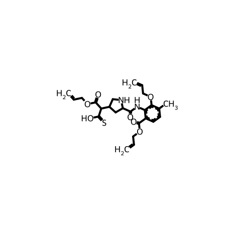 C=CCOC(=O)c1ccc(C)c(OCC=C)c1NC(=O)C1CC(C(C(=O)OCC=C)C(O)=S)CN1